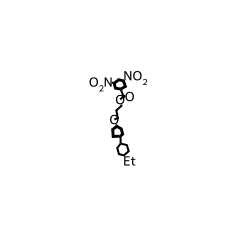 CCC1CCC(c2ccc(OCCCOC(=O)c3cc([N+](=O)[O-])cc([N+](=O)[O-])c3)cc2)CC1